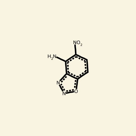 Nc1c([N+](=O)[O-])ccc2onnc12